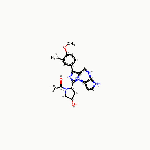 COc1ccc(-c2nc([C@H]3C[C@@H](O)CN3C(C)=O)n3c2cnc2[nH]ccc23)cc1C